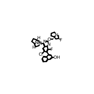 Oc1cc(-c2c(Cl)cc3c(N4CC[C@H]5CC[C@@H](C4)N5)nc(OC[C@]45CCCN4C[C@@H](F)C5)nc3c2F)c2ccccc2c1